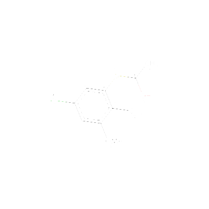 COc1cc(Cl)cc(SC(C)O)c1C